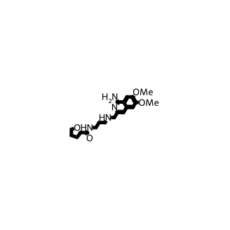 COc1cc2cc(CNCCCNC(=O)C3CCCO3)nc(N)c2cc1OC